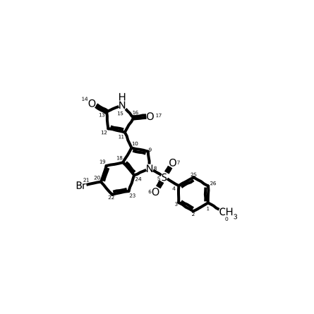 Cc1ccc(S(=O)(=O)n2cc(C3=CC(=O)NC3=O)c3cc(Br)ccc32)cc1